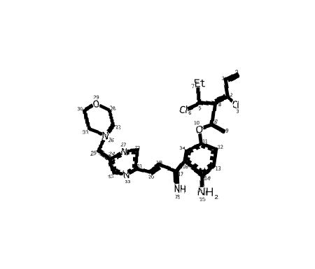 C=C/C(Cl)=C(\C(Cl)CC)C(C)Oc1ccc(N)c(C(=N)/C=C/c2cnc(CN3CCOCC3)cn2)c1